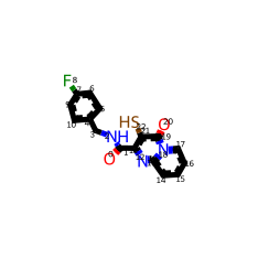 O=C(NCc1ccc(F)cc1)c1nc2ccccn2c(=O)c1S